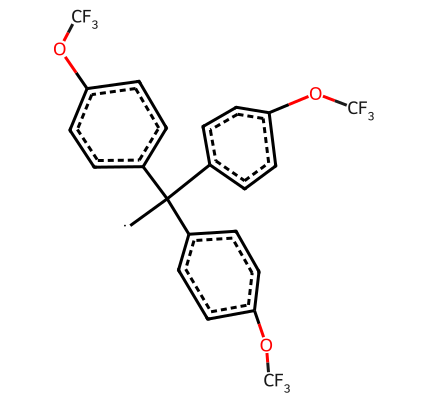 [CH2]C(c1ccc(OC(F)(F)F)cc1)(c1ccc(OC(F)(F)F)cc1)c1ccc(OC(F)(F)F)cc1